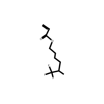 C=CC(=O)OCCCCC(C)C(F)(F)F